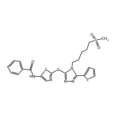 CS(=O)(=O)CCCCCn1c(Sc2ncc(NC(=O)c3ccccc3)s2)nnc1-c1cccs1